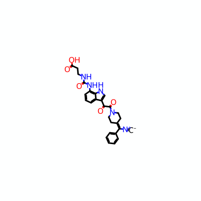 [C-]#[N+]C(=C1CCN(C(=O)C(=O)c2c[nH]c3c(NC(=O)NCCC(=O)O)cccc23)CC1)c1ccccc1